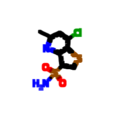 Cc1cc(Cl)c2scc(S(N)(=O)=O)c2n1